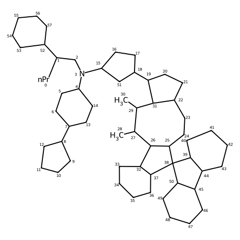 CCCC(CN(C1CCC(C2CCCC2)CC1)C1CCC(C2CCC3CCC4C(C(C)C(C)C32)C2CCCCC2C42C3CCCCC3C3CCCCC32)C1)C1CCCCC1